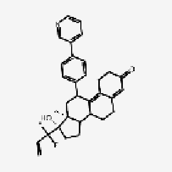 C=CC(F)(F)[C@]1(O)CCC2C3CCC4=CC(=O)CCC4=C3C(c3ccc(-c4cccnc4)cc3)C[C@@]21C